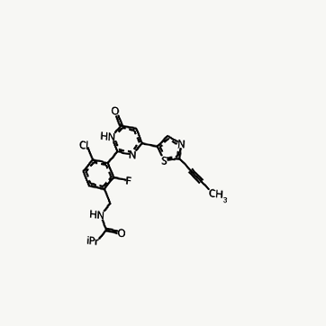 CC#Cc1ncc(-c2cc(=O)[nH]c(-c3c(Cl)ccc(CNC(=O)C(C)C)c3F)n2)s1